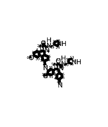 COc1ccc(-c2c(-c3ccc(C#N)cc3)nc(NC[C@@H]3CCNC3)c(=O)n2C)cc1.COc1ccc(-c2c(-c3ccc(C#N)cc3)nc(NC[C@H]3CCNC3)c(=O)n2C)cc1